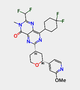 COc1cc([C@H]2C[C@@H](c3nc(C4CCC(F)(F)CC4)c4nc(C(F)F)n(C)c(=O)c4n3)CCO2)ccn1